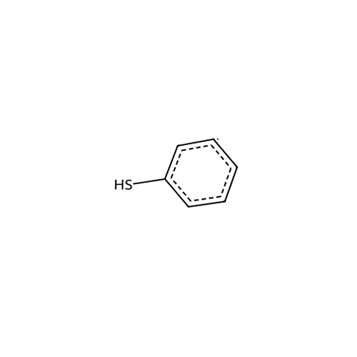 Sc1c[c]ccc1